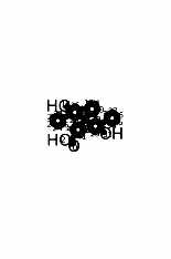 O=C(O)c1ccc(C(c2ccccc2)(c2ccc(O)c(-c3ccccc3)c2)c2ccc(O)c(-c3ccccc3)c2)cc1